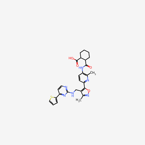 Cc1nc(-c2onc(C)c2CNc2nccc(-c3cccs3)n2)ccc1NC(=O)C1CCCCC1C(=O)O